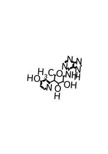 CC1OC(Nc2ncnc3nc[nH]c23)C(O)C(O)C1c1cc(O)ccn1